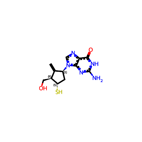 C=C1[C@H](CO)[C@@H](S)C[C@@H]1n1cnc2c(=O)[nH]c(N)nc21